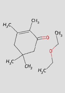 CC1=C(C)C(=O)CC(C)(C)C1.CCOCC